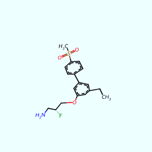 CCc1cc(OC[C@H](F)CN)cc(-c2ccc(S(C)(=O)=O)cc2)c1